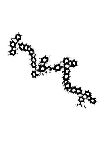 Cc1ccccc1N(c1ccc2cc3c(cc2c1)oc1cc2oc4cc5cc(N(c6ccccc6C)c6ccc(CC(C)c7ccc(N(c8ccc9cc%10c(cc9c8)oc8cc9oc%11cc%12cc(N(c%13ccc(C(C)C)cc%13)c%13cccc%14c%13oc%13ccccc%13%14)ccc%12cc%11c9cc8%10)c8cccc9c8oc8ccccc89)cc7)c7c6oc6ccccc67)ccc5cc4c2cc13)c1cccc2c1oc1ccccc12